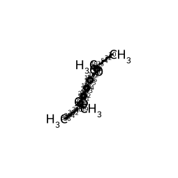 CCCCCCCC[C@@H]1CO[C@@H](CC[C@H]2CC[C@H](c3ccc(-c4ccc([C@@H]5OC[C@@H](CCCCCCCC)C(C)O5)cc4)cc3)CC2)OC1C